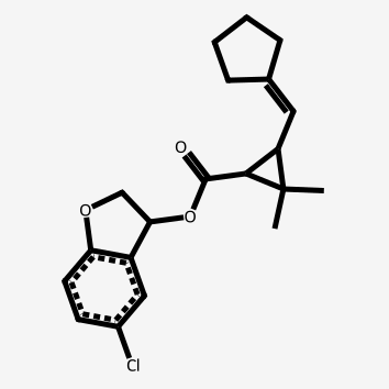 CC1(C)C(C=C2CCCC2)C1C(=O)OC1COc2ccc(Cl)cc21